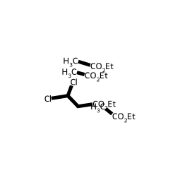 CCOC(=O)CC(Cl)Cl.CCOC(C)=O.CCOC(C)=O.CCOC(C)=O